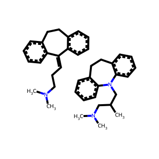 CC(CN(C)C)CN1c2ccccc2CCc2ccccc21.CN(C)CCC=C1c2ccccc2CCc2ccccc21